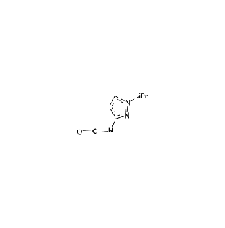 CC(C)n1ccc(N=C=O)n1